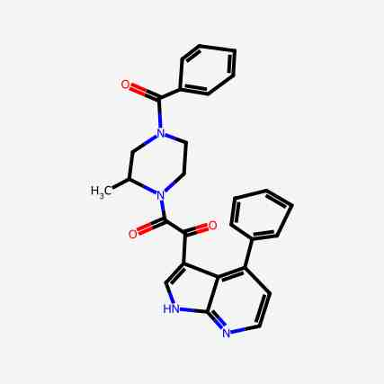 CC1CN(C(=O)c2ccccc2)CCN1C(=O)C(=O)c1c[nH]c2nccc(-c3ccccc3)c12